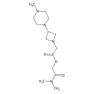 CN1CCN(C2CN(CC(=O)OCC(=O)N(C)C)C2)CC1